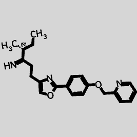 CC[C@@H](C)C(=N)CCc1coc(-c2ccc(OCc3ccccn3)cc2)n1